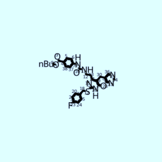 CCCCOC(=O)c1ccc(NC(=O)NCCc2nc(SCc3ccc(F)cc3)[nH]c(=O)c2Cc2cncnc2)cc1